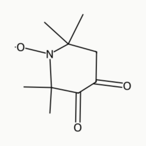 CC1(C)CC(=O)C(=O)C(C)(C)N1[O]